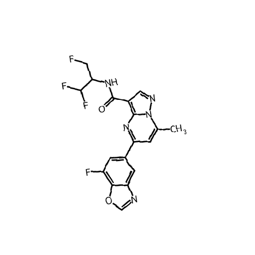 Cc1cc(-c2cc(F)c3ocnc3c2)nc2c(C(=O)NC(CF)C(F)F)cnn12